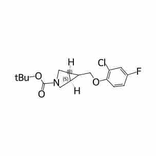 CC(C)(C)OC(=O)N1C[C@@H]2C(COc3ccc(F)cc3Cl)[C@@H]2C1